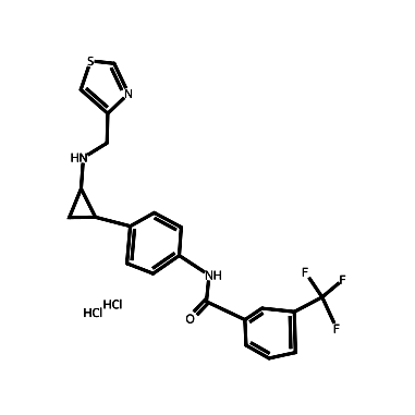 Cl.Cl.O=C(Nc1ccc(C2CC2NCc2cscn2)cc1)c1cccc(C(F)(F)F)c1